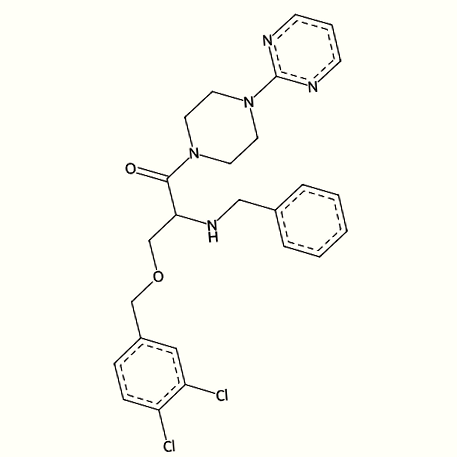 O=C(C(COCc1ccc(Cl)c(Cl)c1)NCc1ccccc1)N1CCN(c2ncccn2)CC1